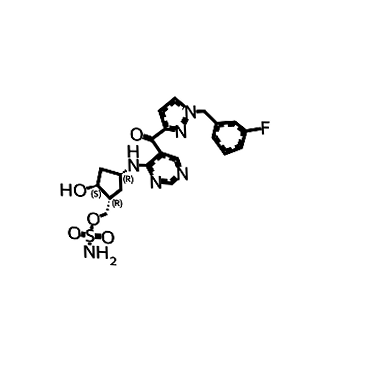 NS(=O)(=O)OC[C@H]1C[C@@H](Nc2ncncc2C(=O)c2ccn(Cc3cccc(F)c3)n2)C[C@@H]1O